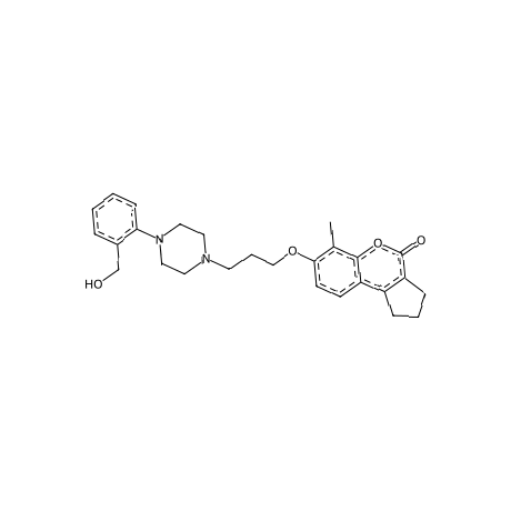 Cc1c(OCCCN2CCN(c3ccccc3CO)CC2)ccc2c3c(c(=O)oc12)CCC3